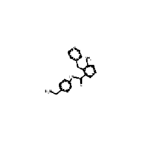 NCc1ccc(NC(=O)c2cccc(N)c2Cc2ccncc2)cc1